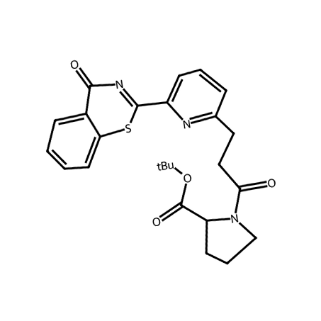 CC(C)(C)OC(=O)C1CCCN1C(=O)CCc1cccc(-c2nc(=O)c3ccccc3s2)n1